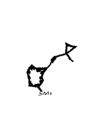 CSc1cccc(C#CC2(C)CC2)c1